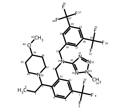 CCC(c1ccc(C(F)(F)F)cc1CN(Cc1cc(C(F)(F)F)cc(C(F)(F)F)c1)c1nnn(C)n1)N1CCC(OC)CC1